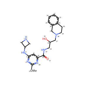 COc1nc(NC2CNC2)cc(C(=O)NCC(O)CN2CCc3ccccc3C2)n1